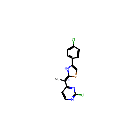 N#C/C(=C1\NC(c2ccc(Cl)cc2)=CS1)c1ccnc(Cl)n1